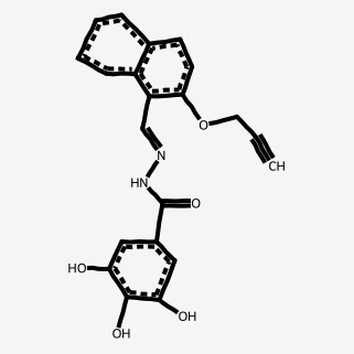 C#CCOc1ccc2ccccc2c1C=NNC(=O)c1cc(O)c(O)c(O)c1